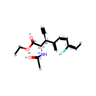 C#C[C@@H](C(=C)/C=C\C(F)=C/C)[C@H](NC(C)=O)C(=O)OCC